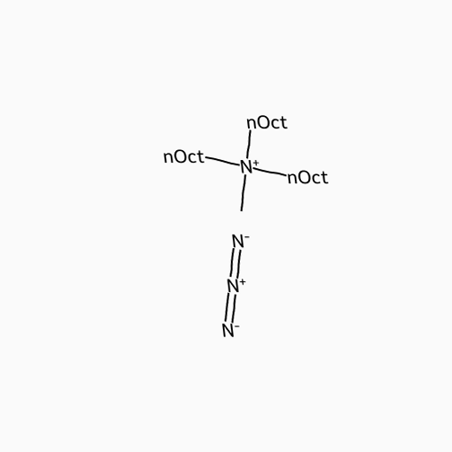 CCCCCCCC[N+](C)(CCCCCCCC)CCCCCCCC.[N-]=[N+]=[N-]